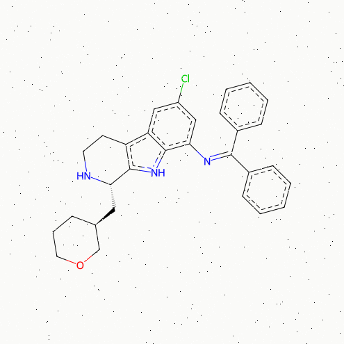 Clc1cc(N=C(c2ccccc2)c2ccccc2)c2[nH]c3c(c2c1)CCN[C@H]3C[C@@H]1CCCOC1